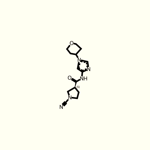 N#CN1CC[C@H](C(=O)Nc2cn(C3CCOCC3)cn2)C1